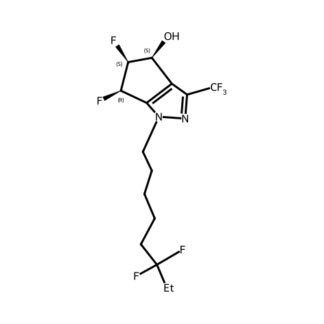 CCC(F)(F)CCCCCn1nc(C(F)(F)F)c2c1[C@@H](F)[C@@H](F)[C@H]2O